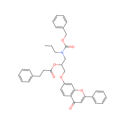 CCCN(CC(COc1ccc2c(=O)cc(-c3ccccc3)oc2c1)OC(=O)CCc1ccccc1)C(=O)OCc1ccccc1